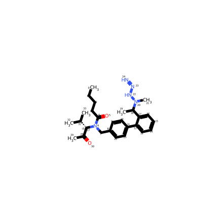 CCCCC(=O)N(Cc1ccc(-c2ccccc2C(C)N(C)NN=N)cc1)[C@H](C(C)=O)C(C)C